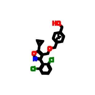 OCC12CCC(COCc3c(-c4c(Cl)cccc4Cl)noc3C3CC3)(CC1)CC2